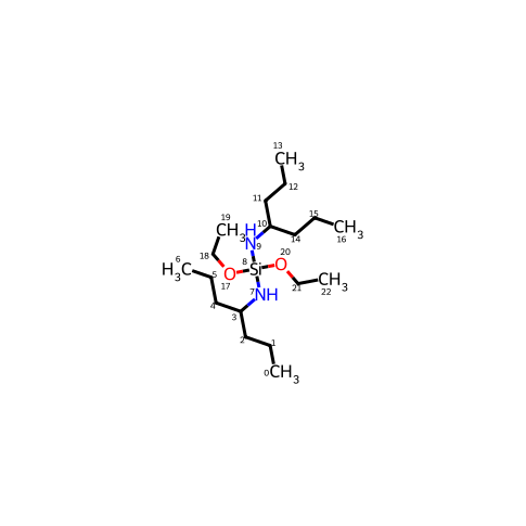 CCCC(CCC)N[Si](NC(CCC)CCC)(OCC)OCC